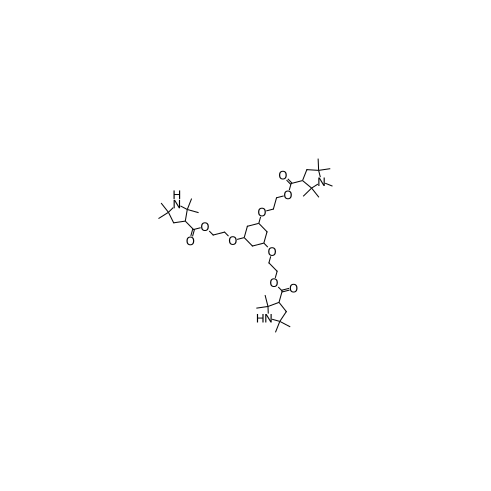 CN1C(C)(C)CC(C(=O)OCCOC2CC(OCCOC(=O)C3CC(C)(C)NC3(C)C)CC(OCCOC(=O)C3CC(C)(C)NC3(C)C)C2)C1(C)C